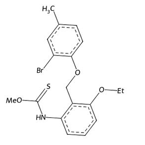 CCOc1cccc(NC(=S)OC)c1COc1ccc(C)cc1Br